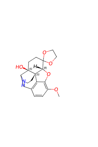 COc1ccc2c3c1O[C@H]1C4(CC[C@@]5(O)C(C2)NCC[C@]315)OCCO4